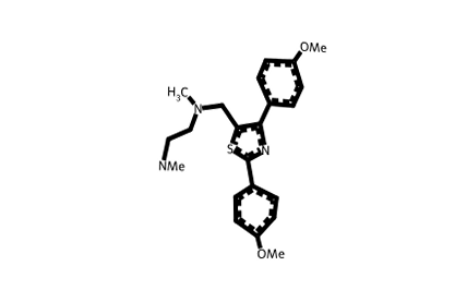 CNCCN(C)Cc1sc(-c2ccc(OC)cc2)nc1-c1ccc(OC)cc1